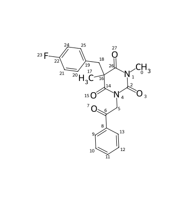 CN1C(=O)N(CC(=O)c2ccccc2)C(=O)C(C)(Cc2ccc(F)cc2)C1=O